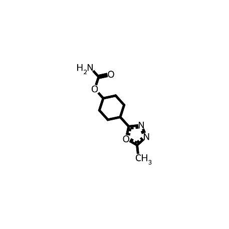 Cc1nnc(C2CCC(OC(N)=O)CC2)o1